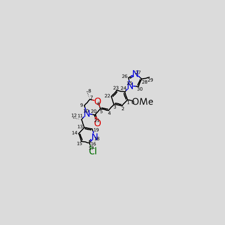 COc1cc(C=C2O[C@@H](C)CN([C@@H](C)c3ccc(Cl)nc3)C2=O)ccc1-n1cnc(C)c1